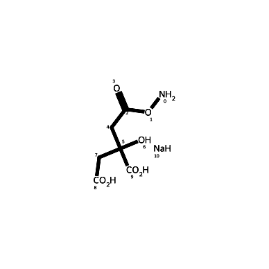 NOC(=O)CC(O)(CC(=O)O)C(=O)O.[NaH]